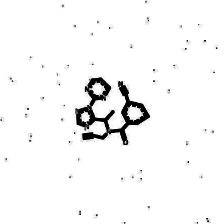 C#CCN(C(=O)c1cccc(C#N)c1)C(C)c1ncnn1-c1ncccn1